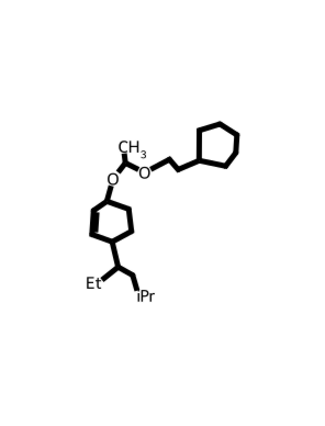 CCC(CC(C)C)C1C=CC(OC(C)OCCC2CCCCC2)CC1